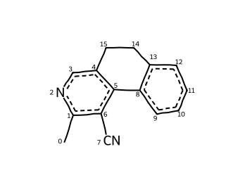 Cc1ncc2c(c1C#N)-c1ccccc1CC2